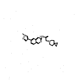 C=C(CN1CCC2(CC1)CC2)Nc1cc2cc(-c3cnn(C)c3)ccc2cn1